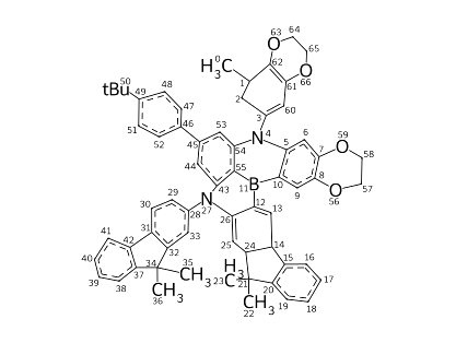 CC1CC(N2c3cc4c(cc3B3C5=CC6c7ccccc7C(C)(C)C6C=C5N(c5ccc6c(c5)C(C)(C)c5ccccc5-6)c5cc(-c6ccc(C(C)(C)C)cc6)cc2c53)OCCO4)=CC2=C1OCCO2